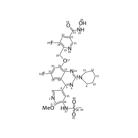 COc1ncc(-c2nc(N3CCCCC3)nc3c(OCc4ncc(C(=O)NO)cc4F)cc(F)cc23)cc1NS(C)(=O)=O